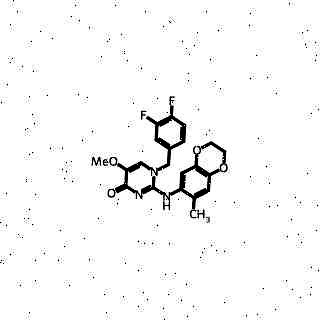 COc1cn(Cc2ccc(F)c(F)c2)c(Nc2cc3c(cc2C)OCCO3)nc1=O